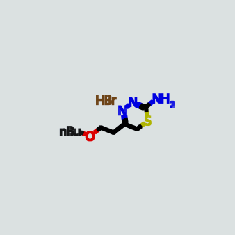 Br.CCCCOCCC1=NN=C(N)SC1